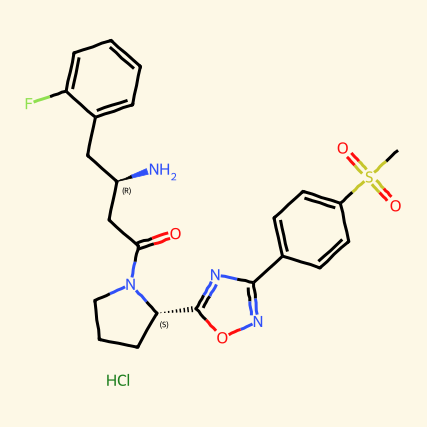 CS(=O)(=O)c1ccc(-c2noc([C@@H]3CCCN3C(=O)C[C@H](N)Cc3ccccc3F)n2)cc1.Cl